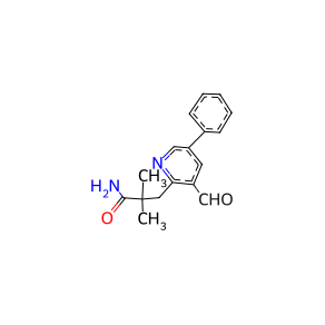 CC(C)(Cc1ncc(-c2ccccc2)cc1C=O)C(N)=O